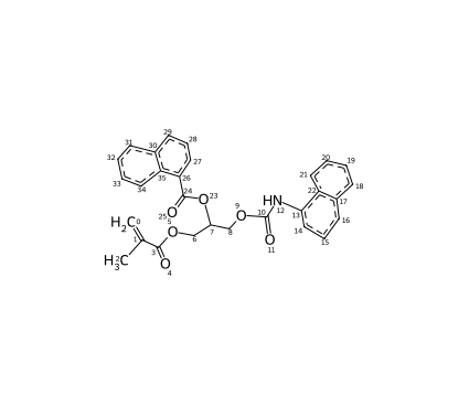 C=C(C)C(=O)OCC(COC(=O)Nc1cccc2ccccc12)OC(=O)c1cccc2ccccc12